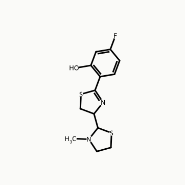 CN1CCSC1C1CSC(c2ccc(F)cc2O)=N1